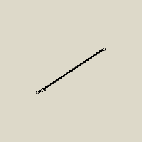 O=CCCCCCCCCCCCCCCCCCCCCCCCCCCCCCCCCCCCCCCCCCCCCNCC=O